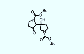 CC(C)(C)OC(=O)N1CCC(O)(C2C(=O)CCN2C(=O)OC(C)(C)C)C1